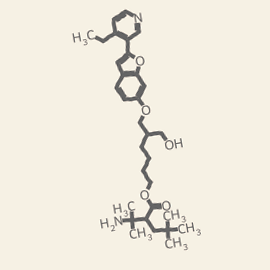 CCc1ccncc1-c1cc2ccc(OCC(CO)CCCCOC(=O)C(CC(C)(C)C)C(C)(C)N)cc2o1